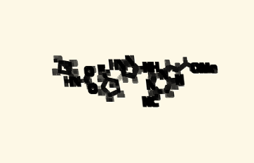 COCc1cn2c(Nc3cc([C@@H]4CC[C@H](OC(=O)NC56CC(C5)C6)[C@H]4F)[nH]n3)nc(C#N)cc2n1